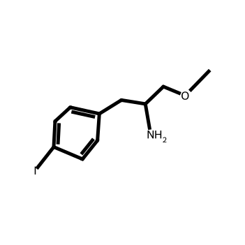 COCC(N)Cc1ccc(I)cc1